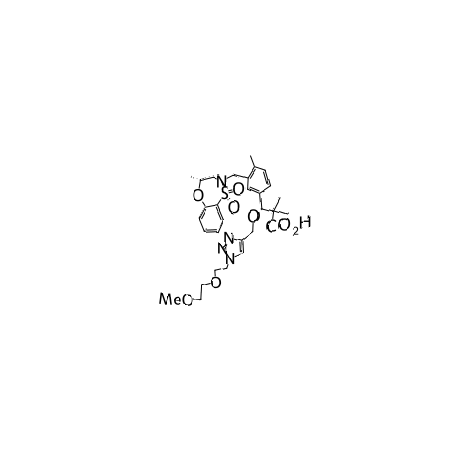 COCCOCCn1cc(CO[C@H](c2ccc(C)c(CN3C[C@@H](C)Oc4ccccc4S3(=O)=O)c2)C(C)(C)C(=O)O)nn1